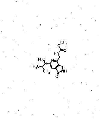 COC(=O)NCc1nc(N(C)C(C)C)cc2c1CNC2=O